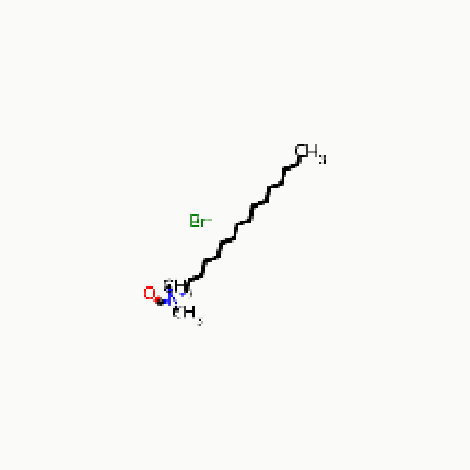 CCCCCCCCCCCCCCCC[N+](C)(C)C=O.[Br-]